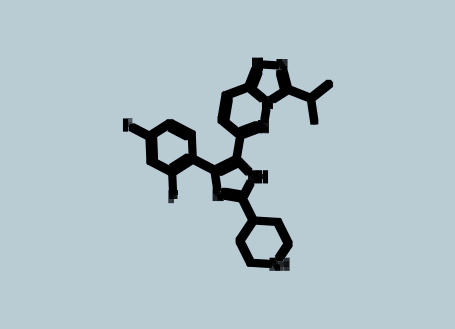 CC(C)c1nnc2ccc(-c3[nH]c(C4CCNCC4)nc3-c3ccc(F)cc3F)nn12